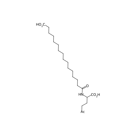 CC(=O)CCC(NC(=O)CCCCCCCCCCCCCCC(=O)O)C(=O)O